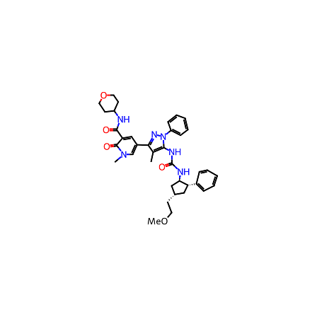 COCC[C@@H]1C[C@@H](NC(=O)Nc2c(C)c(-c3cc(C(=O)NC4CCOCC4)c(=O)n(C)c3)nn2-c2ccccc2)[C@H](c2ccccc2)C1